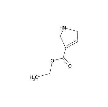 CCOC(=O)C1=CCNC1